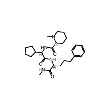 CNC(=O)[C@@H](CCCc1ccccc1)NC(=O)[C@H](NC(=O)[C@@H]1CCCCN1C)C1CCCC1